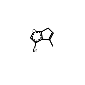 CC1=CCc2occ(Br)c21